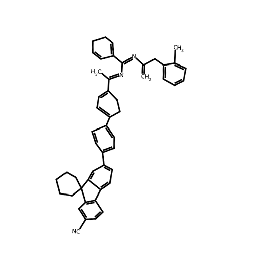 C=C(Cc1ccccc1C)/N=C(\N=C(/C)C1=CC=C(c2ccc(-c3ccc4c(c3)C3(CCCCC3)c3cc(C#N)ccc3-4)cc2)CC1)C1=CCCC=C1